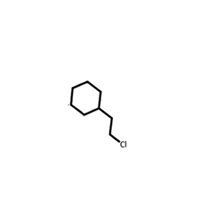 ClCCC1C[CH]CCC1